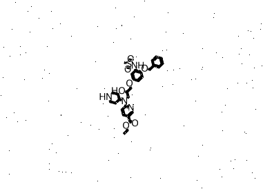 CCOC(=O)c1ccc(N(CC(O)COc2ccc(OCc3ccccc3)c(NS(C)(=O)=O)c2)C2CCNCC2)nc1